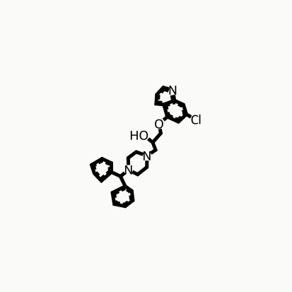 OC(COc1cc(Cl)cc2ncccc12)CN1CCN(C(c2ccccc2)c2ccccc2)CC1